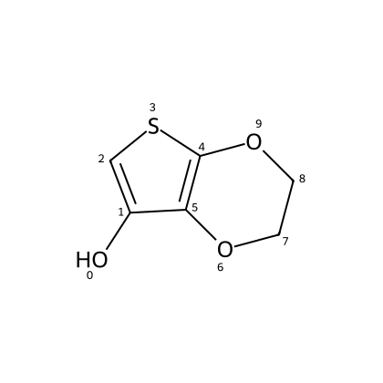 Oc1csc2c1OCCO2